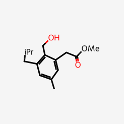 COC(=O)Cc1cc(C)cc(CC(C)C)c1CO